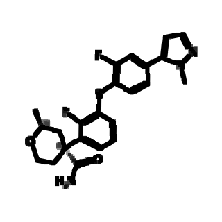 C[C@H]1C[C@@](C(N)=O)(c2cccc(Sc3ccc(-c4ccnn4C)cc3F)c2F)CCO1